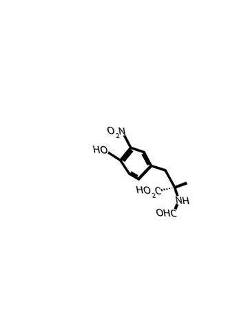 C[C@](Cc1ccc(O)c([N+](=O)[O-])c1)(NC=O)C(=O)O